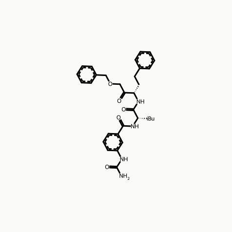 CCC(C)[C@H](NC(=O)c1cccc(NC(N)=O)c1)C(=O)N[C@@H](CCc1ccccc1)C(=O)COCc1ccccc1